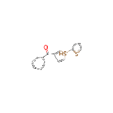 O=C(C1=C[SH](c2cccs2)C=C1)c1ccccc1